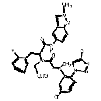 CN(CC(=O)N(CC=O)C(Cc1ccccc1F)C(=O)Nc1ccc2nn(C)cc2c1)c1cc(Cl)ccc1-n1cc(Cl)nn1